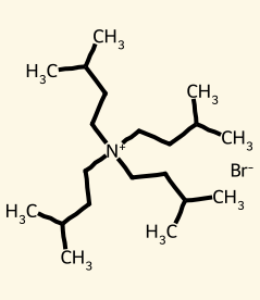 CC(C)CC[N+](CCC(C)C)(CCC(C)C)CCC(C)C.[Br-]